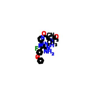 CC(C)(C=C(C#N)C(=O)N1CCC[C@H](n2nc(-c3ccc(Oc4ccccc4)cc3F)c3c(N)ncnc32)C1)NC1COC1